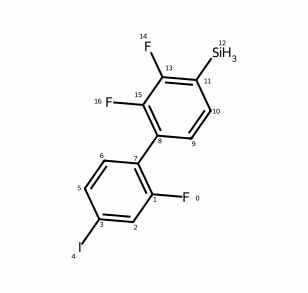 Fc1cc(I)ccc1-c1ccc([SiH3])c(F)c1F